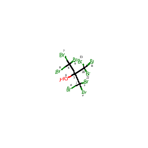 OC(C(Br)(Br)Br)(C(Br)(Br)Br)C(Br)(Br)Br